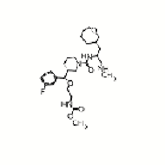 CNC[C@H](C[C@H]1CCCCOC1)NC(=O)N1CCC[C@@H]([C@@H](OCCNC(=O)OC)c2cccc(F)c2)C1